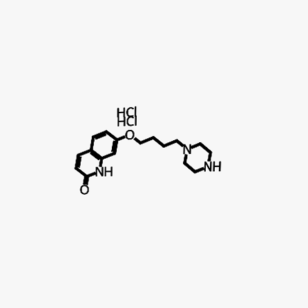 Cl.Cl.O=c1ccc2ccc(OCCCCN3CCNCC3)cc2[nH]1